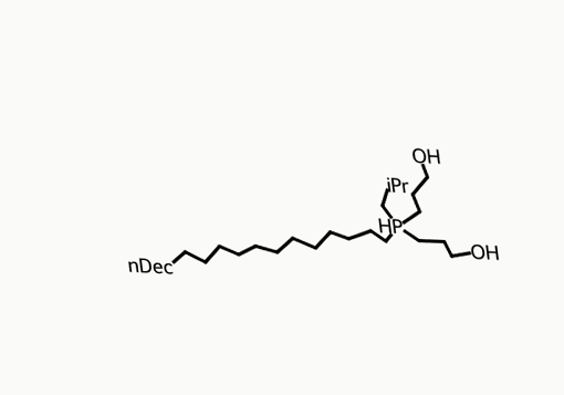 CCCCCCCCCCCCCCCCCCCCCC[PH](CCCO)(CCCO)CC(C)C